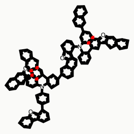 c1cc(-c2ccc3ccccc3c2)cc(N(c2ccc(-c3cccc4c3oc3ccccc34)cc2)c2ccc(-c3ccc4ccc5c(oc6cccc(N(c7cccc(-c8ccc9ccccc9c8)c7)c7ccccc7-c7ccc8oc9cc%10ccccc%10cc9c8c7)c65)c4c3)cc2-c2ccc3oc4cc5ccccc5cc4c3c2)c1